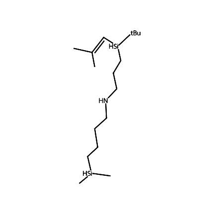 CC(C)=C[SiH](CCCNCCCC[SiH](C)C)C(C)(C)C